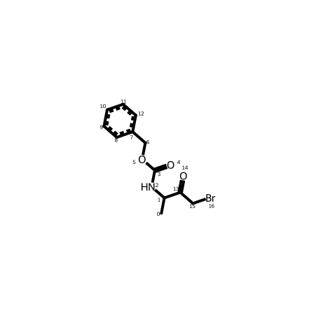 CC(NC(=O)OCc1ccccc1)C(=O)CBr